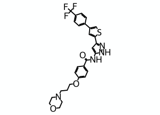 O=C(Nc1cc(-c2cc(-c3ccc(C(F)(F)F)cc3)cs2)n[nH]1)c1ccc(OCCCN2CCOCC2)cc1